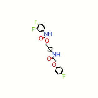 O=C(COc1ccc(F)cc1)NC12CC(COC(=O)Nc3ccc(F)c(F)c3)(C1)C2